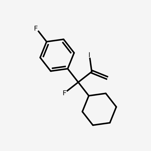 C=C(I)C(F)(c1ccc(F)cc1)C1CCCCC1